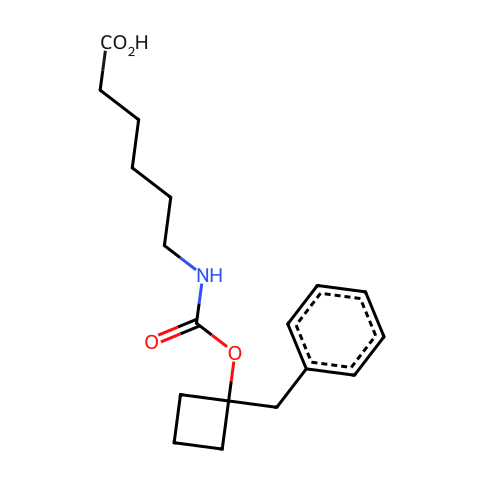 O=C(O)CCCCCNC(=O)OC1(Cc2ccccc2)CCC1